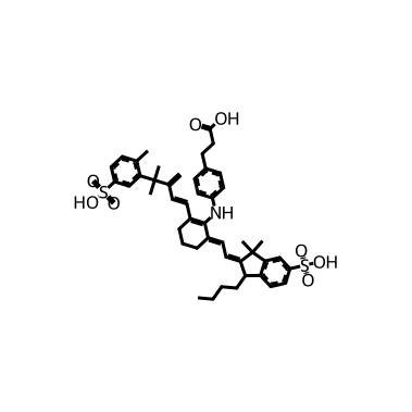 C=C(/C=C/C1=C(Nc2ccc(CCC(=O)O)cc2)C(=C/C=C2/C(CCCC)c3ccc(S(=O)(=O)O)cc3C2(C)C)/CCC1)C(C)(C)c1cc(S(=O)(=O)O)ccc1C